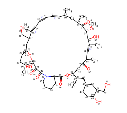 CO[C@H]1C(=O)[C@H](C)C[C@H](C)/C=C/C=C/C=C(\C)C(CO)C[C@@H]2CC[C@@H](C)[C@@](O)(O2)C(=O)C(=O)N2CCCCC2C(=O)O[C@H]([C@H](C)C[C@@H]2CC[C@@H](O)[C@H](CO)C2)CC(=O)C(C)/C=C(\C)C1O